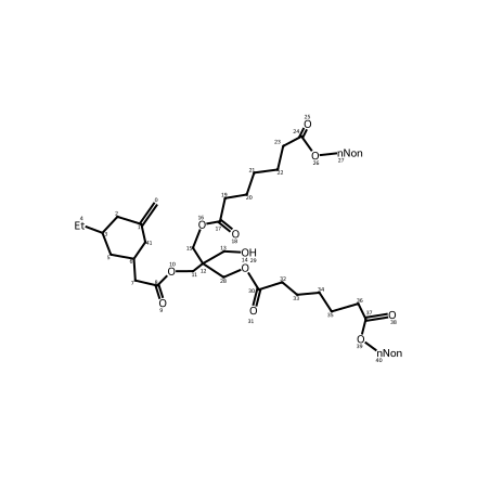 C=C1CC(CC)CC(CC(=O)OCC(CO)(COC(=O)CCCCCC(=O)OCCCCCCCCC)COC(=O)CCCCCC(=O)OCCCCCCCCC)C1